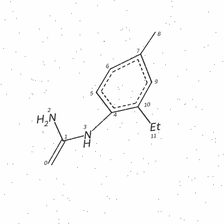 C=C(N)Nc1ccc(C)cc1CC